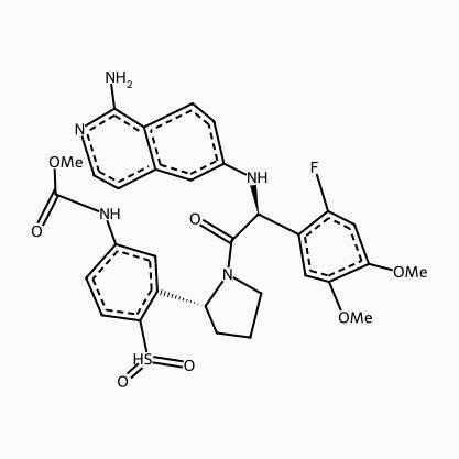 COC(=O)Nc1ccc([SH](=O)=O)c([C@H]2CCCN2C(=O)[C@@H](Nc2ccc3c(N)nccc3c2)c2cc(OC)c(OC)cc2F)c1